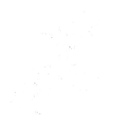 COc1cccc(Cn2c(C)cc(OCc3ccc(F)cc3CNC(=O)Nc3cc(C(C)(C)C)nn3-c3ccc(O)c(Cl)c3)c(Cl)c2=O)c1